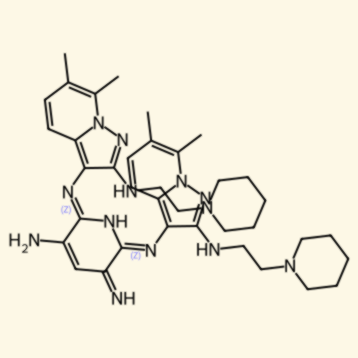 Cc1ccc2c(/N=C3\N/C(=N\c4c(NCCN5CCCCC5)nn5c(C)c(C)ccc45)C(N)=CC3=N)c(NCCN3CCCCC3)nn2c1C